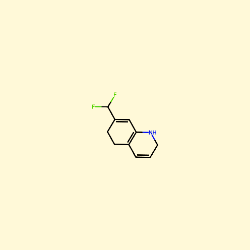 FC(F)C1=CC2=C(C=CCN2)CC1